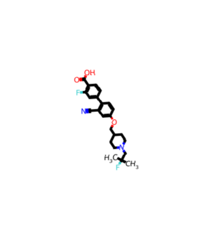 CC(C)(F)CN1CCC(COc2ccc(-c3ccc(C(=O)O)c(F)c3)c(C#N)c2)CC1